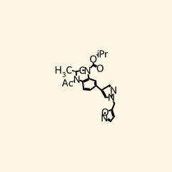 CC(=O)N1c2ccc(-c3cnn(Cc4ccno4)c3)cc2N(C(=O)OC(C)C)C[C@@H]1C